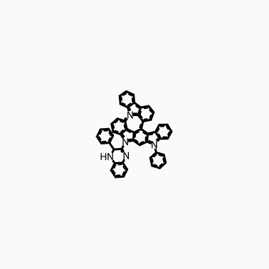 c1ccc(C2Nc3ccccc3N=C2n2c3cc4c(c5ccccc5n4-c4ccccc4)c4c5cccc6c7ccccc7n(c7cccc2c7c43)c65)cc1